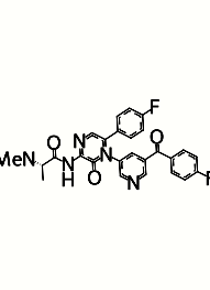 CN[C@@H](C)C(=O)Nc1ncc(-c2ccc(F)cc2)n(-c2cncc(C(=O)c3ccc(F)cc3)c2)c1=O